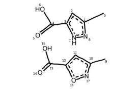 Cc1cc(C(=O)O)[nH]n1.Cc1cc(C(=O)O)on1